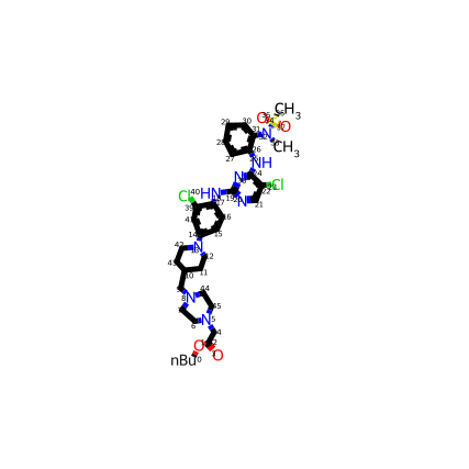 CCCCOC(=O)CN1CCN(CC2CCN(c3ccc(Nc4ncc(Cl)c(Nc5ccccc5N(C)S(C)(=O)=O)n4)c(Cl)c3)CC2)CC1